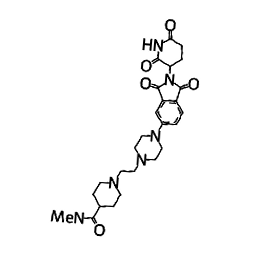 CNC(=O)C1CCN(CCN2CCN(c3ccc4c(c3)C(=O)N(C3CCC(=O)NC3=O)C4=O)CC2)CC1